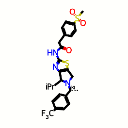 CC(C)C1c2nc(NC(=O)Cc3ccc(S(C)(=O)=O)cc3)sc2CN1[C@H](C)c1ccc(C(F)(F)F)cc1